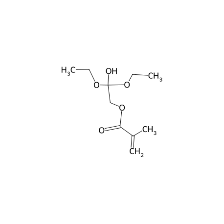 C=C(C)C(=O)OCC(O)(OCC)OCC